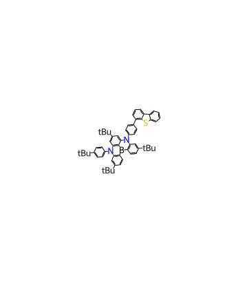 CC(C)(C)c1ccc(N2c3cc(C(C)(C)C)ccc3B3c4ccc(C(C)(C)C)cc4N(c4ccc(-c5cccc6c5sc5ccccc56)cc4)c4cc(C(C)(C)C)cc2c43)cc1